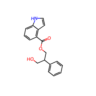 O=C(OCC(CO)c1ccccc1)c1cccc2[nH]ccc12